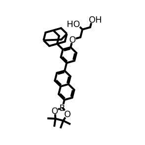 CC1(C)OB(c2ccc3cc(-c4ccc(OCC(O)CO)c(C56CC7CC(CC(C7)C5)C6)c4)ccc3c2)OC1(C)C